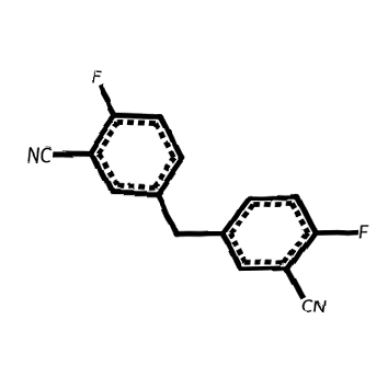 N#Cc1cc(Cc2ccc(F)c(C#N)c2)ccc1F